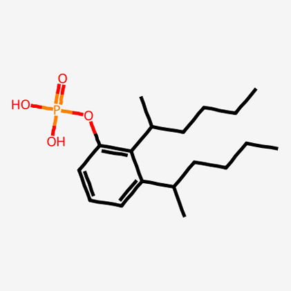 CCCCC(C)c1cccc(OP(=O)(O)O)c1C(C)CCCC